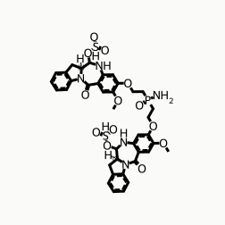 COc1cc2c(cc1OCCP(N)(=O)CCOc1cc3c(cc1OC)C(=O)N1c4ccccc4C[C@H]1C(O[SH](=O)=O)N3)NC(O[SH](=O)=O)[C@@H]1Cc3ccccc3N1C2=O